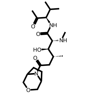 CN[C@@H](C(=O)N[C@@H](C(C)=O)C(C)C)[C@H](O)[C@H](C)CC(=O)N1C2CCC1COC2